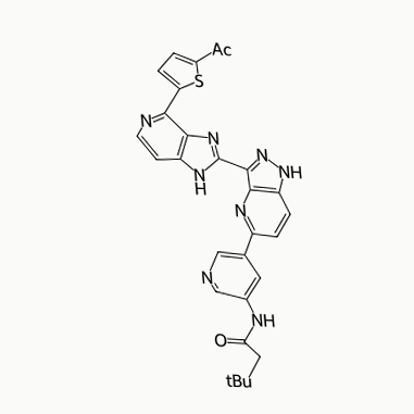 CC(=O)c1ccc(-c2nccc3[nH]c(-c4n[nH]c5ccc(-c6cncc(NC(=O)CC(C)(C)C)c6)nc45)nc23)s1